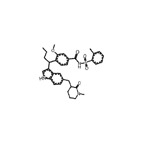 CCCC(c1ccc(C(=O)NS(=O)(=O)c2ccccc2C)cc1OC)c1c[nH]c2ccc(CC3CCCN(C)C3=O)cc12